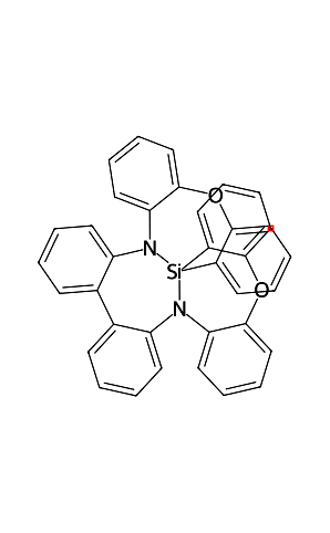 c1ccc2c(c1)Oc1ccccc1[Si]13c4ccccc4Oc4ccccc4N1c1ccccc1-c1ccccc1N23